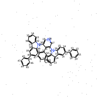 N#Cc1cccc(-c2c(-n3c4ccccc4c4cc(-c5ccccc5)ccc43)cncc2-n2c3ccccc3c3cc(-c4ccccc4)ccc32)c1